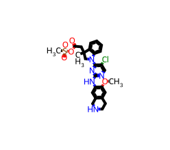 COc1cc2c(cc1Nc1ncc(Cl)c(N3CC(C)(CC(=O)OS(C)(=O)=O)c4ccccc43)n1)CNCC2